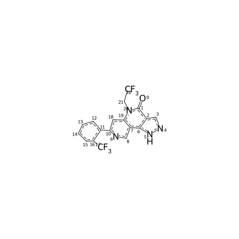 O=c1c2cn[nH]c2c2cnc(-c3ccccc3C(F)(F)F)cc2n1CC(F)(F)F